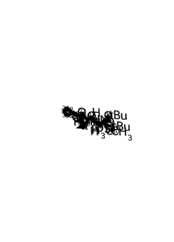 CC(C)(C)OC(=O)NC(CO[Si](C)(C)C(C)(C)C)C(=O)NNC(=O)[C@@H]1CC2(CC2)[C@H]2CN1C(=O)N2OCc1ccccc1